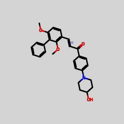 COc1ccc(/C=C/C(=O)c2ccc(N3CCC(O)CC3)cc2)c(OC)c1-c1ccccc1